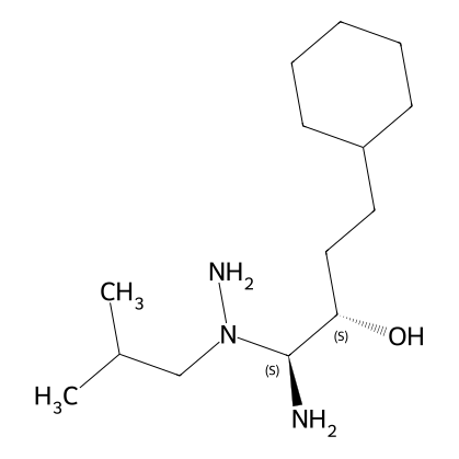 CC(C)CN(N)[C@H](N)[C@@H](O)CCC1CCCCC1